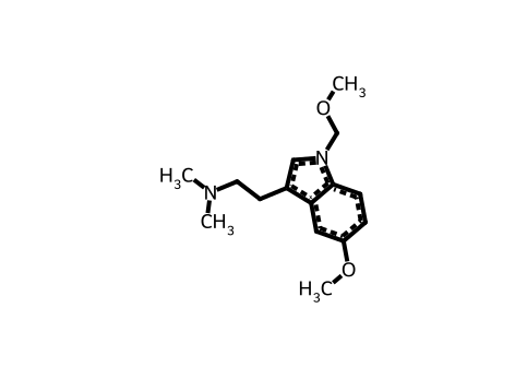 COCn1cc(CCN(C)C)c2cc(OC)ccc21